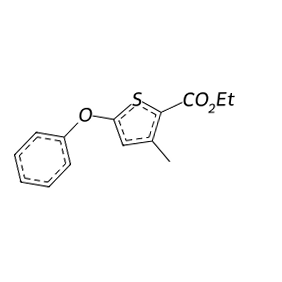 CCOC(=O)c1sc(Oc2ccccc2)cc1C